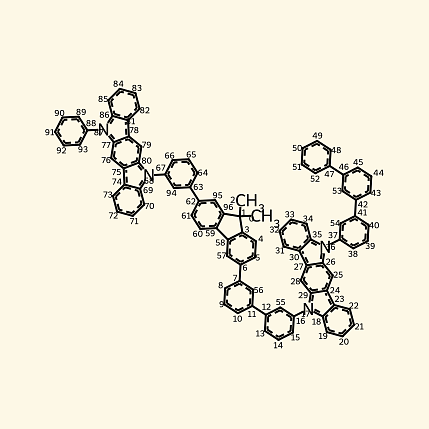 CC1(C)c2ccc(-c3cccc(-c4cccc(-n5c6ccccc6c6cc7c(cc65)c5ccccc5n7-c5cccc(-c6cccc(-c7ccccc7)c6)c5)c4)c3)cc2-c2ccc(-c3cccc(-n4c5ccccc5c5cc6c(cc54)c4ccccc4n6-c4ccccc4)c3)cc21